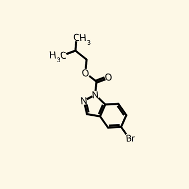 CC(C)COC(=O)n1ncc2cc(Br)ccc21